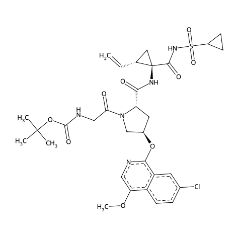 C=C[C@@H]1C[C@]1(NC(=O)[C@@H]1C[C@@H](Oc2ncc(OC)c3ccc(Cl)cc23)CN1C(=O)CNC(=O)OC(C)(C)C)C(=O)NS(=O)(=O)C1CC1